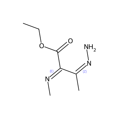 CCOC(=O)C(=N/C)/C(C)=N\N